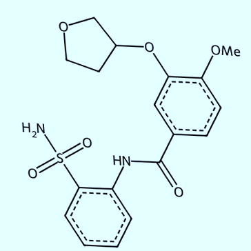 COc1ccc(C(=O)Nc2ccccc2S(N)(=O)=O)cc1OC1CCOC1